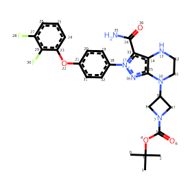 CC(C)(C)OC(=O)N1CC(N2CCNc3c2nn(-c2ccc(Oc4cccc(F)c4F)cc2)c3C(N)=O)C1